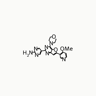 COc1ccncc1-c1cc2nc(-c3cnc(N)nc3)nc(N3CCOCC3)c2o1